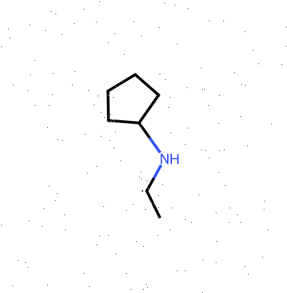 C[CH]NC1CCCC1